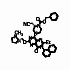 CCc1nc2c(N3CCN(C(=O)OCc4ccccc4)[C@@H](CC#N)C3)nc(OC[C@@H]3CCCN3C)nc2c(=O)n1-c1cccc2ccccc12